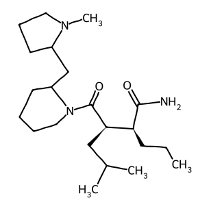 CCC[C@H](C(N)=O)[C@@H](CC(C)C)C(=O)N1CCCCC1CC1CCCN1C